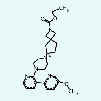 CCOC(=O)N1CC2(CC[C@@H](N3CCN(c4ncccc4-c4ccc(OC)cn4)CC3)C2)C1